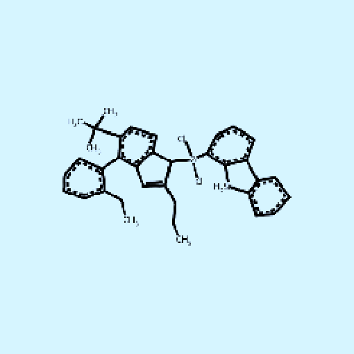 CCCC1=Cc2c(ccc(C(C)(C)C)c2-c2ccccc2CC)[CH]1[Zr]([Cl])([Cl])[c]1cccc2c1[SiH2]c1ccccc1-2